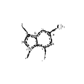 Cc1cn(C)c2c(F)cc(Cl)cc12